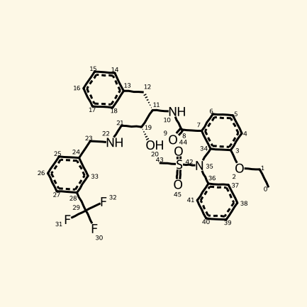 CCOc1cccc(C(=O)N[C@@H](Cc2ccccc2)[C@H](O)CNCc2cccc(C(F)(F)F)c2)c1N(c1ccccc1)S(C)(=O)=O